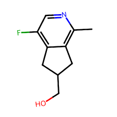 Cc1ncc(F)c2c1CC(CO)C2